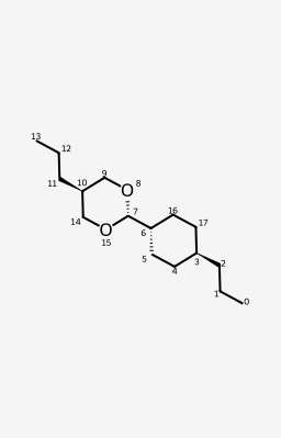 CCC[C@H]1CC[C@H]([C@H]2OC[C@H](CCC)CO2)CC1